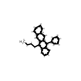 CCCCc1c2ccccc2c(-c2ccccc2)c2cc3ccccc3cc12